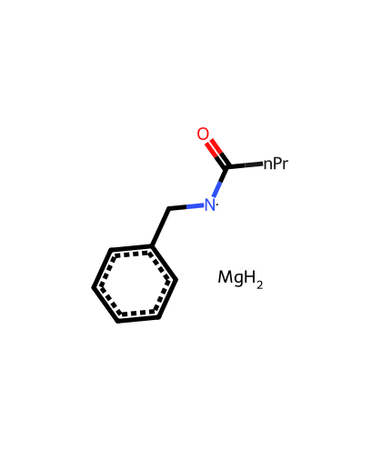 CCCC(=O)[N]Cc1ccccc1.[MgH2]